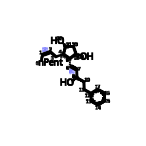 CCCCC/C=C\C[C@@H]1[C@@H](/C=C/[C@@H](O)CCc2ccccc2)[C@H](O)C[C@@H]1O